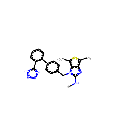 CCNc1nc2c(C)sc(C(=O)O)c2n1Cc1ccc(-c2ccccc2-c2nnn[nH]2)cc1